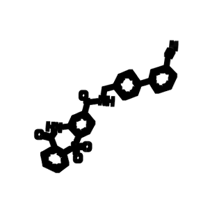 N#Cc1cccc(-c2ccc(CNC(=O)c3ccc4c(c3)NC(=O)c3ccccc3S4(=O)=O)cc2)c1